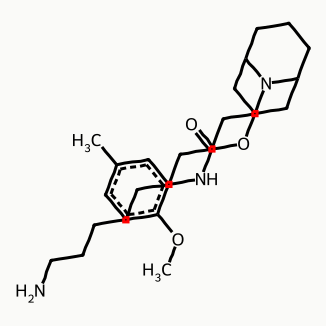 COc1ccc(C)cc1NC(=O)OC1CC2CCCC(C1)N2CCCCCCCCCCN